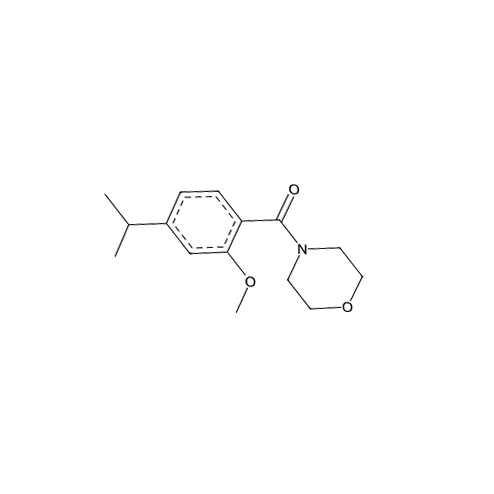 COc1cc(C(C)C)ccc1C(=O)N1CCOCC1